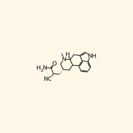 CN1C[C@@H](CC(C#N)C(N)=O)CC2c3cccc4[nH]cc(c34)C[C@H]21